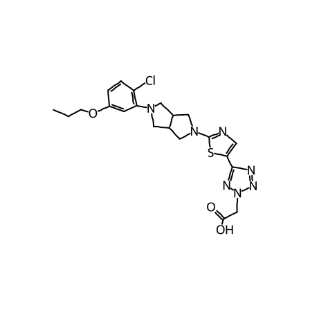 CCCOc1ccc(Cl)c(N2CC3CN(c4ncc(-c5nnn(CC(=O)O)n5)s4)CC3C2)c1